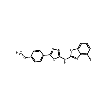 COc1ccc(-c2nnc(Nc3nc4c(I)cccc4o3)o2)cc1